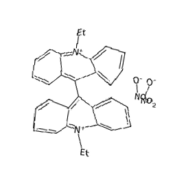 CC[n+]1c2ccccc2c(-c2c3ccccc3[n+](CC)c3ccccc23)c2ccccc21.O=[N+]([O-])[O-].O=[N+]([O-])[O-]